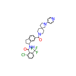 O=C(NC1CCc2ccc(C(=O)N3CCC4(CC3)CCN(c3ccncc3)C4)cc21)c1c(Cl)cccc1C(F)(F)F